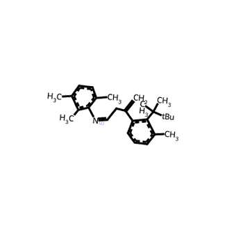 C=C(C/C=N\c1c(C)ccc(C)c1C)c1cccc(C)c1C(C)(C)C(C)(C)C